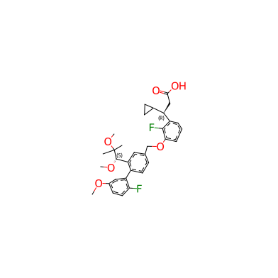 COc1ccc(F)c(-c2ccc(COc3cccc([C@H](CC(=O)O)C4CC4)c3F)cc2[C@H](OC)C(C)(C)OC)c1